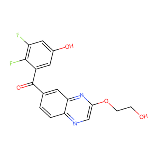 O=C(c1ccc2ncc(OCCO)nc2c1)c1cc(O)cc(F)c1F